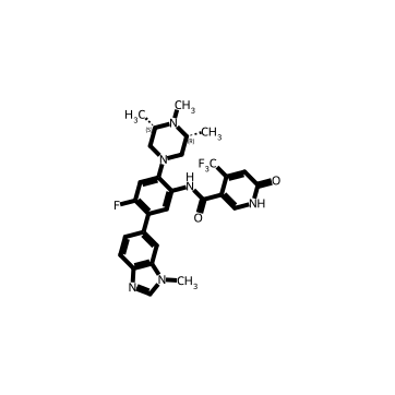 C[C@@H]1CN(c2cc(F)c(-c3ccc4ncn(C)c4c3)cc2NC(=O)c2c[nH]c(=O)cc2C(F)(F)F)C[C@H](C)N1C